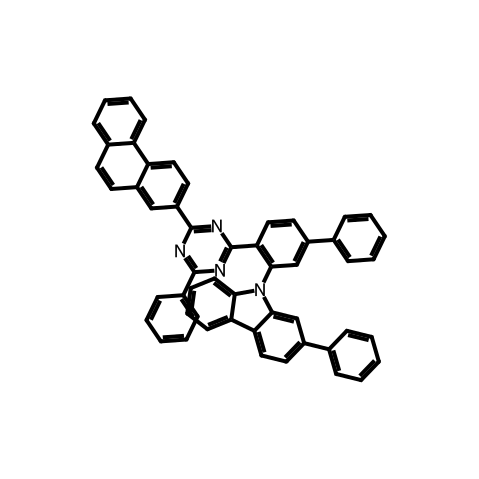 c1ccc(-c2ccc(-c3nc(-c4ccccc4)nc(-c4ccc5c(ccc6ccccc65)c4)n3)c(-n3c4ccccc4c4ccc(-c5ccccc5)cc43)c2)cc1